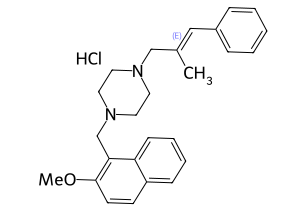 COc1ccc2ccccc2c1CN1CCN(C/C(C)=C/c2ccccc2)CC1.Cl